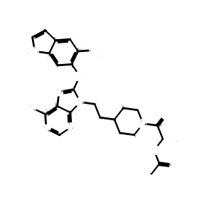 CC(=O)O[C@@H](C)C(=O)N1CCC(CCn2c(Sc3cc4occc4cc3Br)nc3c(N)ncnc32)CC1